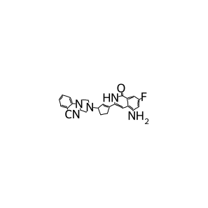 N#Cc1ccccc1N1CCN(C2C=C(c3cc4c(N)cc(F)cc4c(=O)[nH]3)CC2)CC1